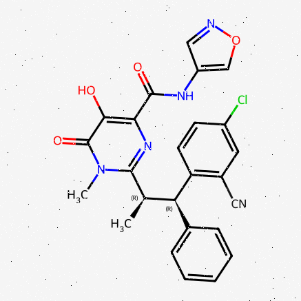 C[C@@H](c1nc(C(=O)Nc2cnoc2)c(O)c(=O)n1C)[C@H](c1ccccc1)c1ccc(Cl)cc1C#N